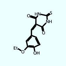 CCOc1cc(C=C2C(=O)NC(=S)NC2=O)ccc1O